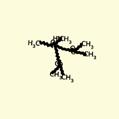 CCCCCCCCCN(C(=O)CCCNC)C(CCCCCCCCC(=O)OC(CCCCCC)CCCCCC)CCCCCCCCC(=O)OC(CCCCCC)CCCCCC